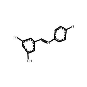 Oc1cc(Br)cc(C=Nc2ccc(Cl)cc2)c1